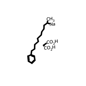 C[CH]([Na])CCCCCCCCCc1ccccc1.O=C(O)CC(=O)O